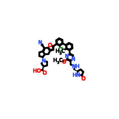 COc1nc(-c2cccc(-c3cccc(-c4cc5c(o4)C(C#N)=C4CC[C@@H](N6CC[C@@H](C(=O)O)C6)C4C5)c3Cl)c2C)cnc1CNC[C@@H]1CCC(=O)N1